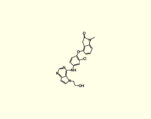 CN1C(=O)Cc2c(Oc3ccc(Nc4ncnc5ccn(CCO)c45)cc3Cl)cccc21